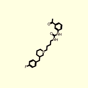 CC(=O)c1cccc(NC(=O)NCCCCN2CCCC(Cc3ccc(F)cc3)C2)c1